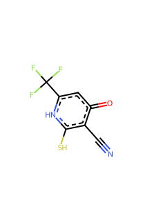 N#Cc1c(S)[nH]c(C(F)(F)F)cc1=O